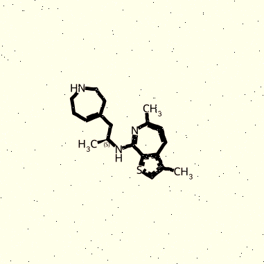 CC1=C=Cc2c(C)csc2C(N[C@@H](C)CC2=CCCNCC2)=N1